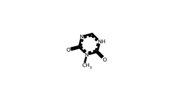 Cn1c(=O)nc[nH]c1=O